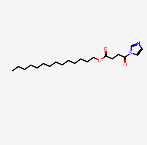 CCCCCCCCCCCCCCOC(=O)CCC(=O)n1ccnc1